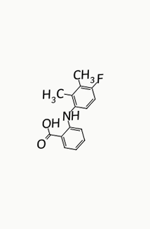 Cc1c(F)ccc(Nc2ccccc2C(=O)O)c1C